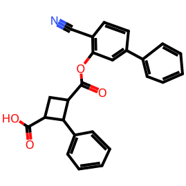 N#Cc1ccc(-c2ccccc2)cc1OC(=O)C1CC(C(=O)O)C1c1ccccc1